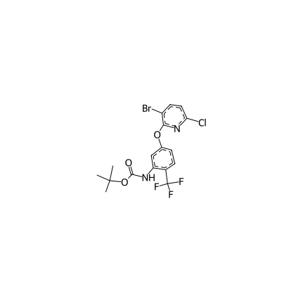 CC(C)(C)OC(=O)Nc1cc(Oc2nc(Cl)ccc2Br)ccc1C(F)(F)F